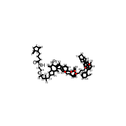 C=C1CCC(=C)C1CCCC(=O)NCCOC(C)(C)CC(C)(C)CC1CC(C(=C)C(C(C)C)C2CCC(CCCC3CCC(CCCc4cccc(C5C6CCC5CC(c5cc(-c7ccccc7C)ccc5C)C6)c4)C(C)C3)C2)C(C(C)CC(C)c2ccc(C3=C(C)C=CC3)cc2)C1